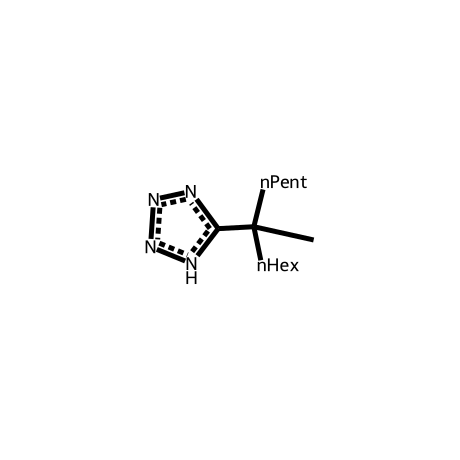 CCCCCCC(C)(CCCCC)c1nnn[nH]1